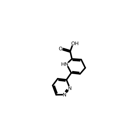 O=C(O)C1=CCC=C(c2cccnn2)N1